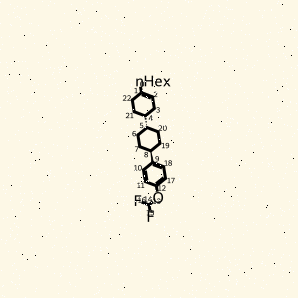 CCCCCCC1=CCC([C@H]2CC[C@H](c3ccc(OC(F)F)cc3)CC2)CC1